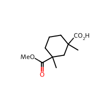 COC(=O)C1(C)CCCC(C)(C(=O)O)C1